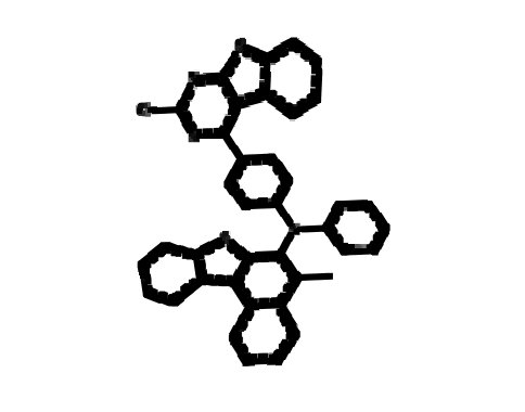 Cc1c(N(c2ccccc2)c2ccc(-c3nc(Cl)nc4oc5ccccc5c34)cc2)c2sc3ccccc3c2c2ccccc12